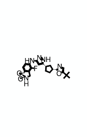 CC(C)(C)c1cnc([C@@H]2CC[C@H](c3cc(Nc4ccc5c(c4F)CNS5(=O)=O)n[nH]3)C2)o1